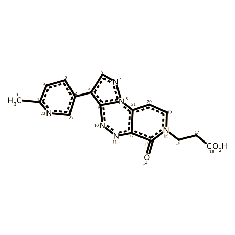 Cc1ccc(-c2cnn3c2nnc2c(=O)n(CCC(=O)O)ccc23)cn1